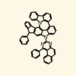 c1ccc(-c2nc(-n3c4cccc5c6cccc7c8ccccc8n(c8c9c(cc3c8c54)C(c3ccccc3)c3ccccc3-9)c67)nc3ccc4ccccc4c23)cc1